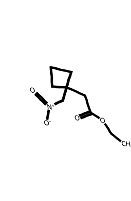 CCOC(=O)CC1(C[N+](=O)[O-])CCC1